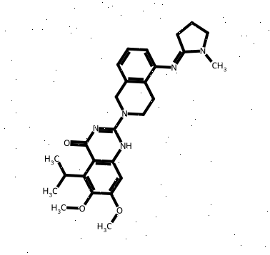 COc1cc2[nH]c(N3CCc4c(cccc4/N=C4\CCCN4C)C3)nc(=O)c2c(C(C)C)c1OC